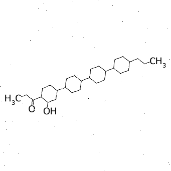 CCCC1CCC(C2CCC(C3CCC(C4CCC(C(=O)CC)C(O)C4)CC3)CC2)CC1